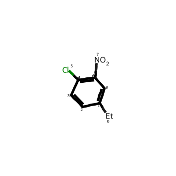 CCc1ccc(Cl)c([N+](=O)[O-])c1